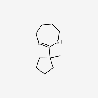 CC1(C2=NCCCCN2)CCCC1